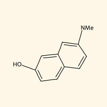 CNc1ccc2ccc(O)cc2c1